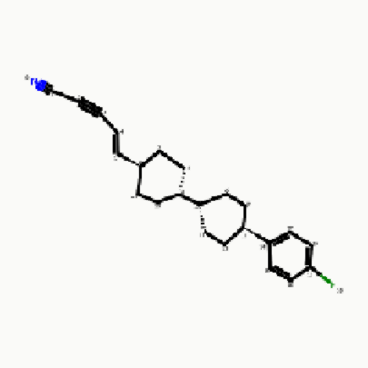 N#CC#C/C=C/[C@H]1CC[C@H]([C@H]2CC[C@H](c3ccc(F)cc3)CC2)CC1